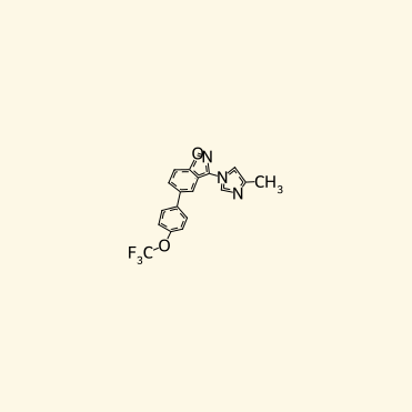 Cc1cn(-c2noc3ccc(-c4ccc(OC(F)(F)F)cc4)cc23)cn1